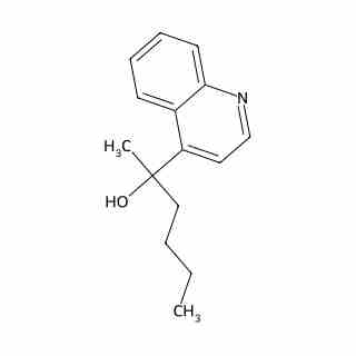 CCCCC(C)(O)c1ccnc2ccccc12